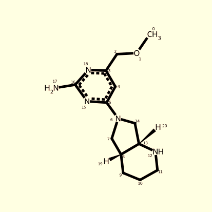 COCc1cc(N2C[C@H]3CCCN[C@H]3C2)nc(N)n1